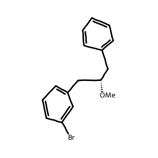 CO[C@@H](Cc1ccccc1)Cc1cccc(Br)c1